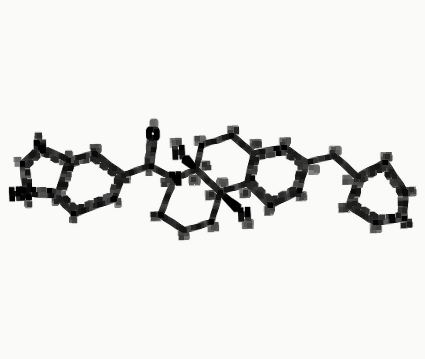 O=C(c1ccc2[nH]cnc2c1)N1CCC[C@H]2c3ccc(Cc4ccccc4)cc3CC[C@H]21